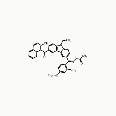 CCn1c2ccc(C(=O)c3c(O)ccc4ccccc34)cc2c2cc(/C(=N\OC(C)=O)c3ccc(OC)cc3C)ccc21